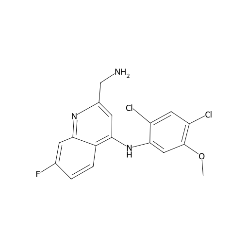 COc1cc(Nc2cc(CN)nc3cc(F)ccc23)c(Cl)cc1Cl